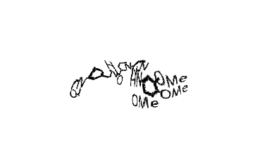 COc1cc(Nc2nccc(N3CCCC(C(=O)NCc4cccc(N5CCOCC5)c4)C3)n2)cc(OC)c1OC